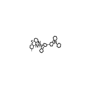 Cc1ccc2c(c1)-c1nc(-n3c4ccccc4c4cc(-c5ccc6c(c5)c5ccccc5n6-c5ccccc5)ccc43)nc3cccc(c13)S2